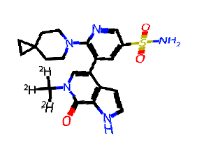 [2H]C([2H])([2H])n1cc(-c2cc(S(N)(=O)=O)cnc2N2CCC3(CC2)CC3)c2cc[nH]c2c1=O